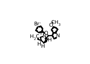 C=C[C@H]1C[N+]2(Cc3ccccc3)CC[C@H]1C[C@@H]2[C@@H](O)c1ccnc2ccc(OC)cc12.[Br-]